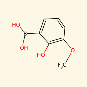 OB(O)c1cccc(OC(F)(F)F)c1O